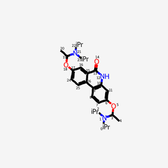 CC(C)N(C(C)C)C(C)Oc1ccc2c(c1)[nH]c(=O)c1cc(OC(C)N(C(C)C)C(C)C)ccc12